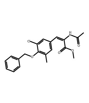 COC(=O)/C(=C\c1cc(C)c(OCc2ccccc2)c(Cl)c1)NC(C)=O